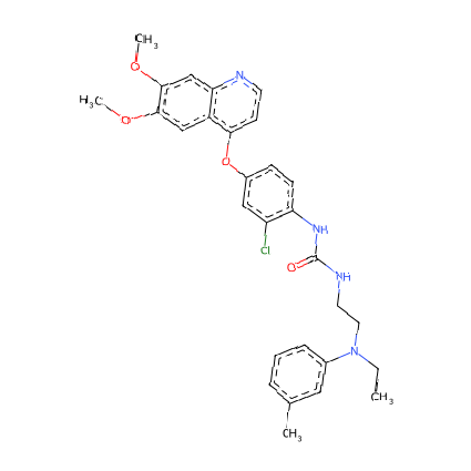 CCN(CCNC(=O)Nc1ccc(Oc2ccnc3cc(OC)c(OC)cc23)cc1Cl)c1cccc(C)c1